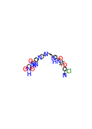 CC1(C)C(NC(=O)c2ccc(C#CCN3CC4(CCN(c5ccc6c(=O)n(C7CCC(=O)NC7=O)nnc6c5)CC4)C3)nc2)C(C)(C)C1Oc1ccc(C#N)c(Cl)c1